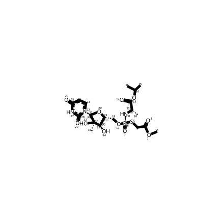 COC(=O)CS[P@@](=O)(N[C@@H](C)C(=O)OC(C)C)OC[C@H]1O[C@@H](n2ccc(=O)[nH]c2=O)[C@](C)(O)[C@@H]1O